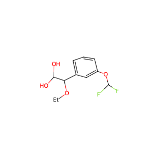 CCOC(c1cccc(OC(F)F)c1)C(O)O